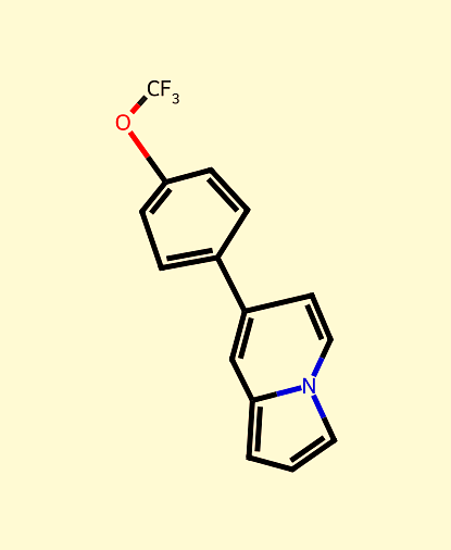 FC(F)(F)Oc1ccc(-c2ccn3cccc3c2)cc1